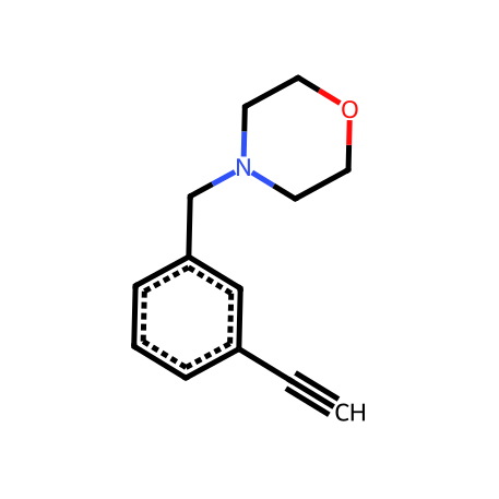 C#Cc1cccc(CN2CCOCC2)c1